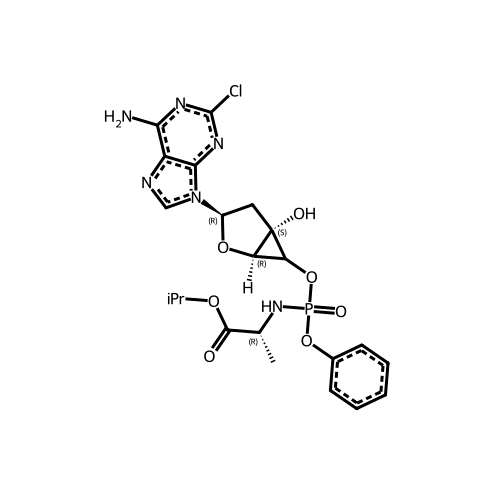 CC(C)OC(=O)[C@@H](C)NP(=O)(Oc1ccccc1)OC1[C@H]2O[C@@H](n3cnc4c(N)nc(Cl)nc43)C[C@@]12O